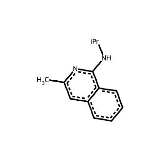 Cc1cc2ccccc2c(NC(C)C)n1